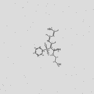 CCCC\C(C)=C/C(C)=N\C(C)=C(\C(=N)OCCO)S(=O)(=O)c1ccccc1